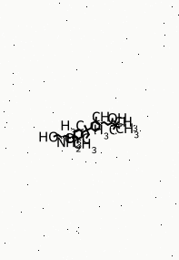 CCC(CC)(c1ccc(CCC(O)C(C)(C)C)c(C)c1)c1ccc(OC[C@H](N)CO)c(C)c1